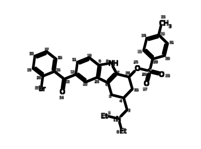 CCN(CC)CC1Cc2c([nH]c3ccc(C(=O)c4ccccc4Br)cc23)C(OS(=O)(=O)c2ccc(C)cc2)C1